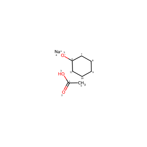 CC(=O)O.[Na+].[O-]C1CCCCC1